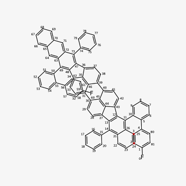 Fc1ccc(-c2ccccc2-c2c3c(c(-c4ccccc4)c4ccccc24)-c2ccc4c5ccc6c7c(ccc(c8ccc-3c2c84)c75)-c2c-6c(-c3ccccc3-c3ccc(F)cc3)c3cc4ccccc4cc3c2-c2ccccc2)cc1